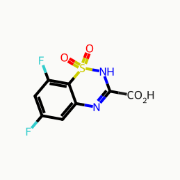 O=C(O)C1=Nc2cc(F)cc(F)c2S(=O)(=O)N1